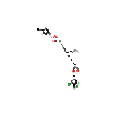 C/C=C/C(CCCCCCC1COC(CCc2cc(F)c(C)c(F)c2)OC1)CCCCCCC1COC(CCc2cc(F)c(C(F)(F)F)c(F)c2)OC1